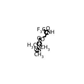 Cc1cnc(N2[C@H](C)CN(C(=O)OCCc3c[nH]c(=O)c(C(F)(F)F)c3)C[C@@H]2C)nc1